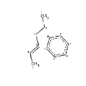 CC=CCCC.c1ccccc1